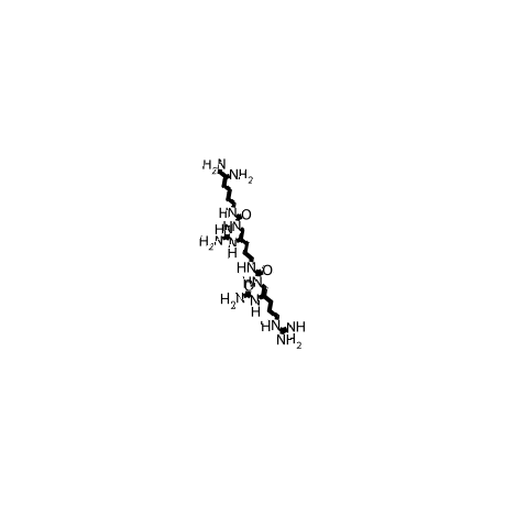 N=C(N)NCCCC(CNC(=O)NCCCC(CNC(=O)NCCCCC(N)CN)NC(=N)N)NC(N)=O